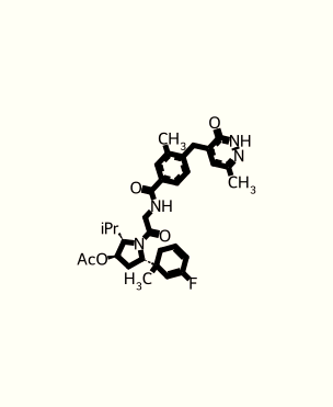 CC(=O)O[C@@H]1C[C@@H](C2(C)C=C(F)C=CC2)N(C(=O)CNC(=O)c2ccc(Cc3cc(C)n[nH]c3=O)c(C)c2)[C@H]1C(C)C